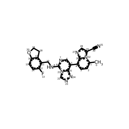 Cc1ccc(-c2cnc(NCc3c(F)ccc4c3CCO4)n3cnnc23)c2ncc(C#N)n12